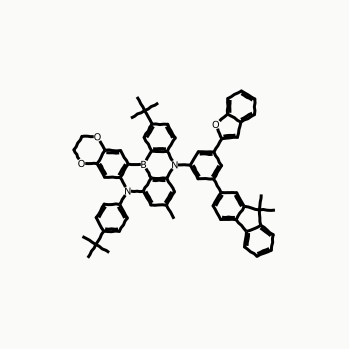 Cc1cc2c3c(c1)N(c1ccc(C(C)(C)C)cc1)c1cc4c(cc1B3c1cc(C(C)(C)C)ccc1N2c1cc(-c2ccc3c(c2)C(C)(C)c2ccccc2-3)cc(-c2cc3ccccc3o2)c1)OCCO4